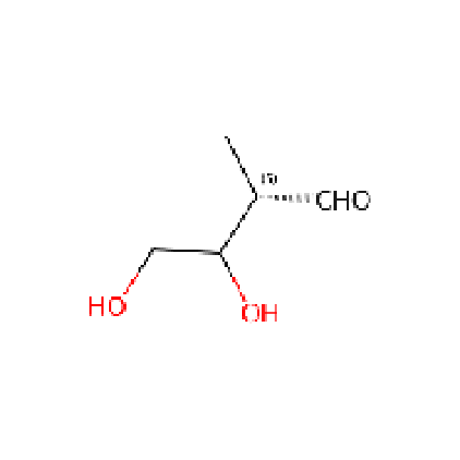 C[C@H](C=O)C(O)CO